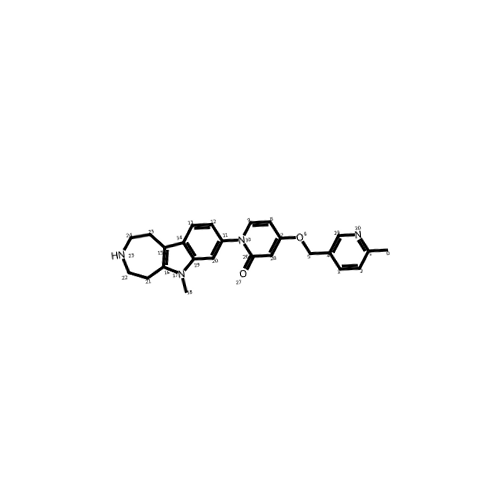 Cc1ccc(COc2ccn(-c3ccc4c5c(n(C)c4c3)CCNCC5)c(=O)c2)cn1